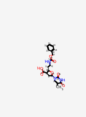 Cc1cn([C@H]2CC(C(=O)O)[C@@H](CCNC(=O)OCc3ccccc3)O2)c(=O)[nH]c1=O